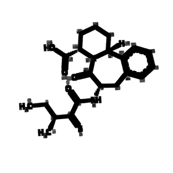 CC[C@H](C)C(=S)C(=O)N[C@H]1Cc2ccccc2[C@H]2CCC[C@@H](C(=O)O)N2C1=O